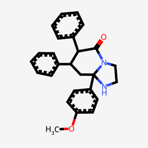 COc1ccc(C23CC(c4ccccc4)C(c4ccccc4)C(=O)N2CCN3)cc1